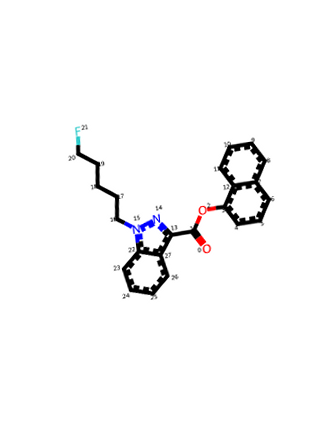 O=C(Oc1cccc2ccccc12)c1nn(CCCCCF)c2ccccc12